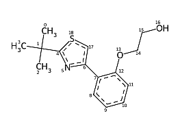 CC(C)(C)c1nc(-c2ccccc2OCCO)cs1